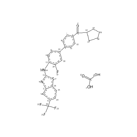 O=C(O)O.O=C(c1ccc(-c2ccc(Nc3nc4cc(C(F)(F)F)ccc4s3)c(F)c2)cc1)C1CCCC1